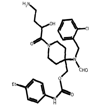 CCc1ccc(NC(=O)OCC2(N(C=O)Cc3ccccc3Cl)CCN(C(=O)C(O)CCN)CC2)cc1